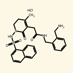 CC1=C(CC(=O)NCc2ccccc2CN)C(=O)N(NS(=O)(=O)c2cccc3ccccc23)CC1.Cl